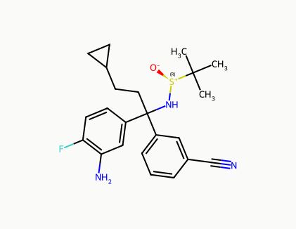 CC(C)(C)[S@+]([O-])NC(CCC1CC1)(c1cccc(C#N)c1)c1ccc(F)c(N)c1